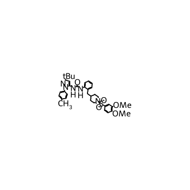 COc1ccc(S(=O)(=O)N2CCC(Cc3ccccc3NC(=O)Nc3cc(C(C)(C)C)nn3-c3ccc(C)cc3)CC2)cc1OC